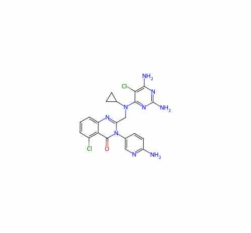 Nc1ccc(-n2c(CN(c3nc(N)nc(N)c3Cl)C3CC3)nc3cccc(Cl)c3c2=O)cn1